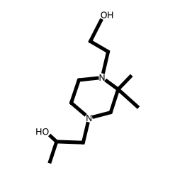 CC(O)CN1CCN(CCO)C(C)(C)C1